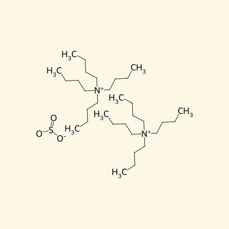 CCCC[N+](CCCC)(CCCC)CCCC.CCCC[N+](CCCC)(CCCC)CCCC.O=S([O-])[O-]